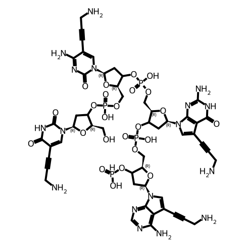 NCC#Cc1cn([C@H]2CC(OP(=O)(O)OC[C@H]3O[C@@H](n4cc(C#CCN)c5c(=O)[nH]c(N)nc54)CC3OP(=O)(O)OC[C@H]3O[C@@H](n4cc(C#CCN)c5c(N)ncnc54)CC3O[PH](=O)O)[C@@H](COP(=O)(O)OC3C[C@H](n4cc(C#CCN)c(=O)[nH]c4=O)O[C@@H]3CO)O2)c(=O)nc1N